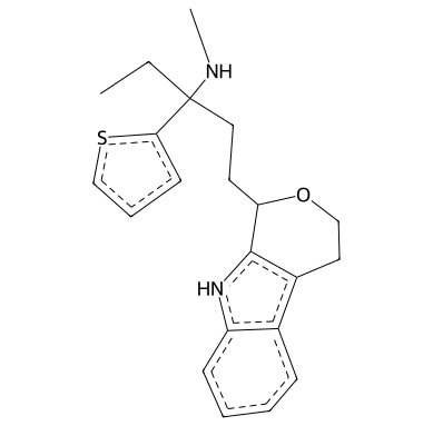 CCC(CCC1OCCc2c1[nH]c1ccccc21)(NC)c1cccs1